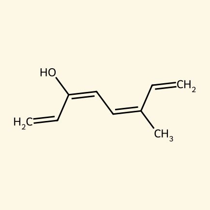 C=C/C(C)=C\C=C(\O)C=C